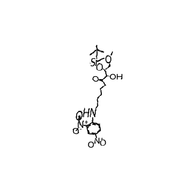 COC[C@H](O[Si](C)(C)C(C)(C)C)C(O)C(=O)CCCCCNc1ccc([N+](=O)[O-])cc1[N+](=O)[O-]